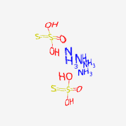 N.N.N.N.O=S(O)(O)=S.O=S(O)(O)=S